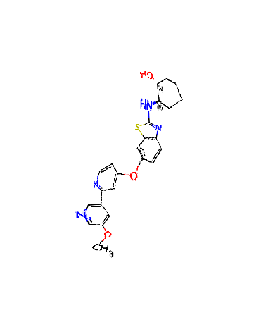 COc1cncc(-c2cc(Oc3ccc4nc(N[C@@H]5CCCC[C@H]5O)sc4c3)ccn2)c1